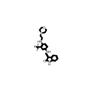 O=C1Nc2ccccc2/C1=C\Nc1ccc(NCCN2CCOCC2)c(C(F)(F)F)c1